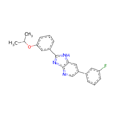 CC(C)Oc1cccc(-c2nc3ncc(-c4cccc(F)c4)cc3[nH]2)c1